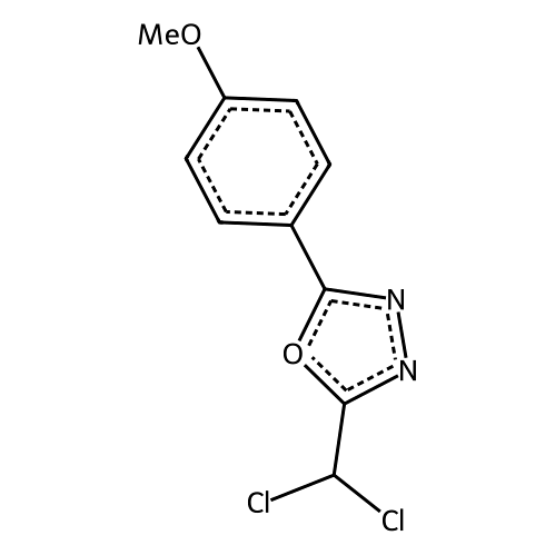 COc1ccc(-c2nnc(C(Cl)Cl)o2)cc1